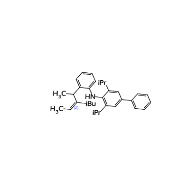 C/C=C(/C(C)CC)C(C)c1ccccc1Nc1c(C(C)C)cc(-c2ccccc2)cc1C(C)C